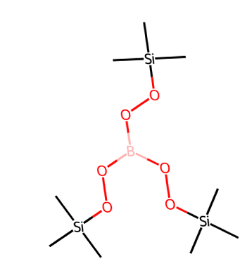 C[Si](C)(C)OOB(OO[Si](C)(C)C)OO[Si](C)(C)C